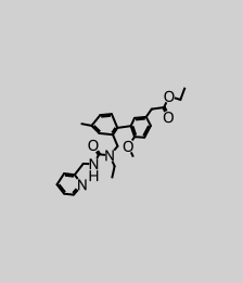 CCOC(=O)Cc1ccc(OC)c(-c2ccc(C)cc2CN(CC)C(=O)NCc2ccccn2)c1